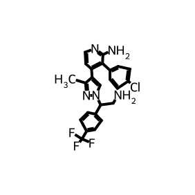 Cc1nn(C(CN)c2ccc(C(F)(F)F)cc2)cc1-c1ccnc(N)c1-c1ccc(Cl)cc1